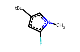 Cn1cc(C(C)(C)C)cc1F